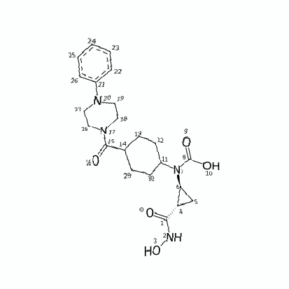 O=C(NO)[C@H]1C[C@@H]1N(C(=O)O)C1CCC(C(=O)N2CCN(c3ccccc3)CC2)CC1